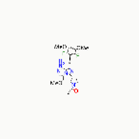 C=CC(=O)N1CC[C@H](c2nc(C#Cc3c(F)c(OC)cc(OC)c3F)c3c(N)ncc(COC)n23)C1